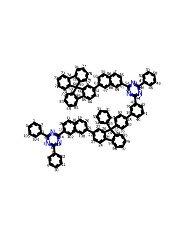 c1ccc(-c2nc(-c3ccccc3)nc(-c3ccc4ccc(-c5ccc6c(c5)C(c5ccccc5)(c5ccc(-c7cccc(-c8nc(-c9ccccc9)nc(-c9ccc%10ccc(-c%11ccc%12c(c%11)C%11(c%13ccccc%13-c%13ccccc%13%11)c%11ccccc%11-%12)cc%10c9)n8)c7)cc5)c5ccccc5-6)cc4c3)n2)cc1